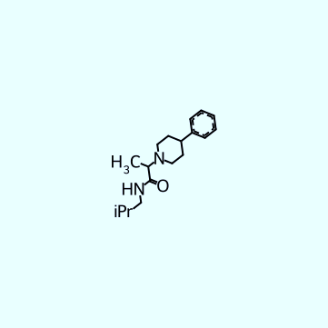 CC(C)CNC(=O)C(C)N1CCC(c2ccccc2)CC1